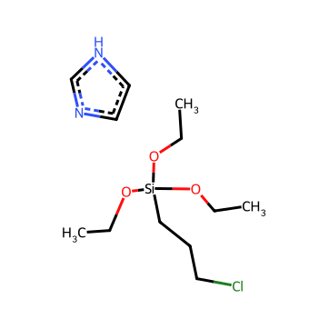 CCO[Si](CCCCl)(OCC)OCC.c1c[nH]cn1